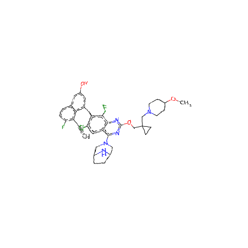 C#Cc1c(F)ccc2cc(O)cc(-c3c(Cl)cc4c(N5CC6CCC(C5)N6)nc(OCC5(CN6CCC(OC)CC6)CC5)nc4c3F)c12